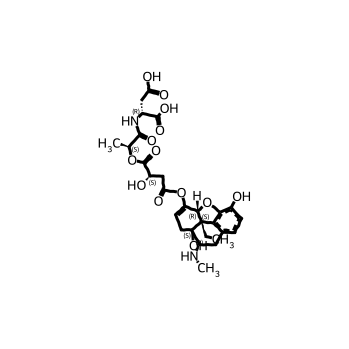 CC[C@]12c3c4ccc(O)c3O[C@H]1C(OC(=O)C[C@H](O)C(=O)O[C@@H](C)C(=O)N[C@H](CC(=O)O)C(=O)O)=CC[C@@]2(O)[C@H](NC)C4